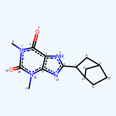 Cn1c(=O)c2[nH]c(C3CC4CCC3C4)nc2n(C)c1=O